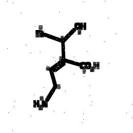 CCC(O)C(=CCN)C(=O)O